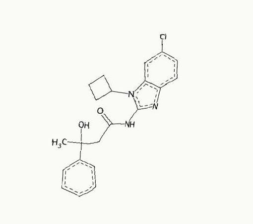 CC(O)(CC(=O)Nc1nc2ccc(Cl)cc2n1C1CCC1)c1ccccc1